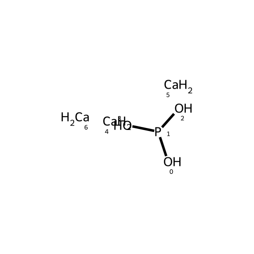 OP(O)O.[CaH2].[CaH2].[CaH2]